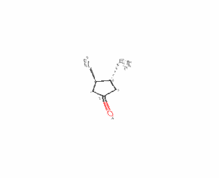 CC[C@@H]1CC(=O)C[C@H]1CC